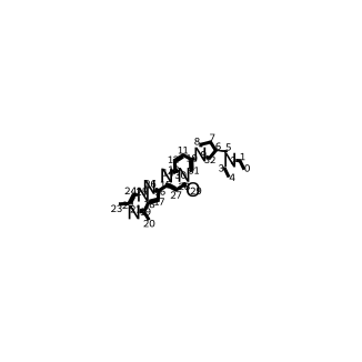 CCN(CC)C[C@@H]1CCN(c2ccc3nc(-c4cc5c(C)nc(C)cn5n4)cc(=O)n3c2)C1